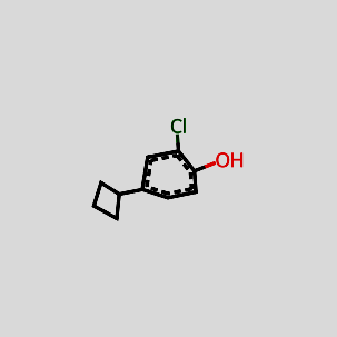 Oc1ccc(C2CCC2)cc1Cl